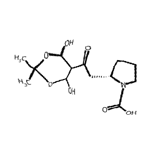 CC1(C)OC(O)C(C(=O)C[C@@H]2CCCN2C(=O)O)C(O)O1